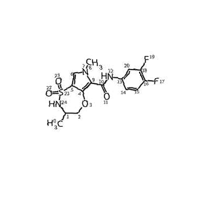 CC1COc2c(cn(C)c2C(=O)Nc2ccc(F)c(F)c2)S(=O)(=O)N1